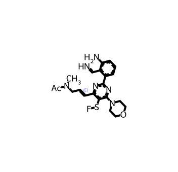 CC(=O)N(C)C/C=C/c1nc(-c2cccc(N)c2C=N)nc(N2CCOCC2)c1SF